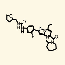 CCc1cc(C(=O)N2CCCCCC2C)nc2cc(-c3ccc(NC(=O)NCC4CCCO4)cc3F)nn12